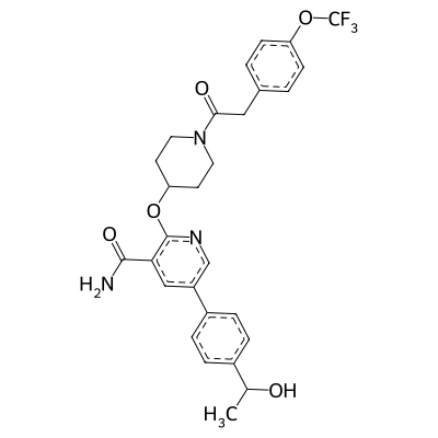 CC(O)c1ccc(-c2cnc(OC3CCN(C(=O)Cc4ccc(OC(F)(F)F)cc4)CC3)c(C(N)=O)c2)cc1